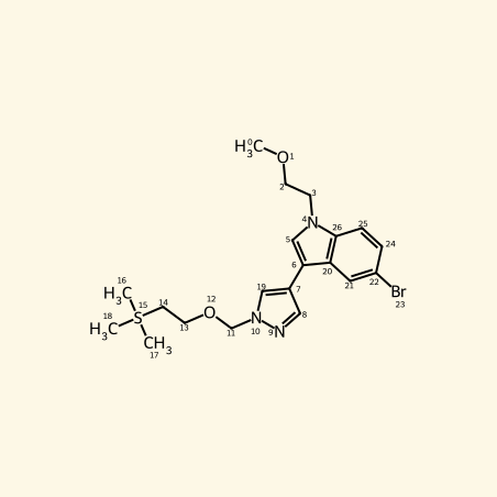 COCCn1cc(-c2cnn(COCCS(C)(C)C)c2)c2cc(Br)ccc21